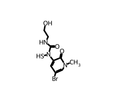 Cn1cc(Br)cc(N(S)C(=O)NCCO)c1=O